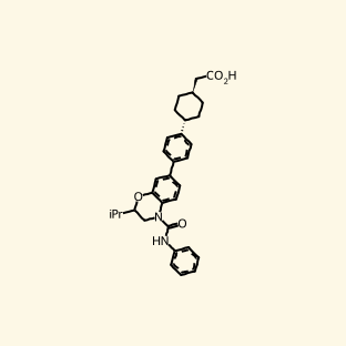 CC(C)C1CN(C(=O)Nc2ccccc2)c2ccc(-c3ccc([C@H]4CC[C@H](CC(=O)O)CC4)cc3)cc2O1